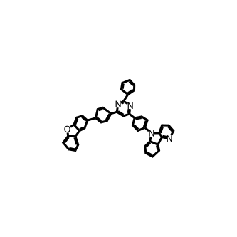 c1ccc(-c2nc(-c3ccc(-c4ccc5oc6ccccc6c5c4)cc3)cc(-c3ccc(-n4c5ccccc5c5ncccc54)cc3)n2)cc1